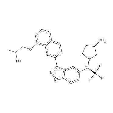 CC(O)COc1cccc2ccc(-c3nnc4ccc([C@@H](N5CCC(N)C5)C(F)(F)F)cn34)nc12